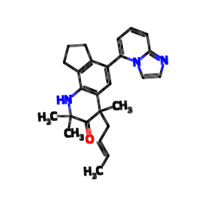 CC=CCC1(C)C(=O)C(C)(C)Nc2c1cc(-c1cccc3nccn13)c1c2CCC1